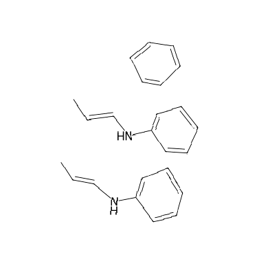 CC=CNc1ccccc1.CC=CNc1ccccc1.c1ccccc1